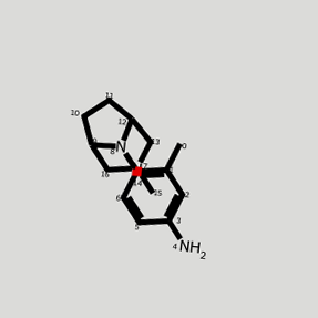 Cc1cc(N)ccc1N1C2CCC1CN(C)C2